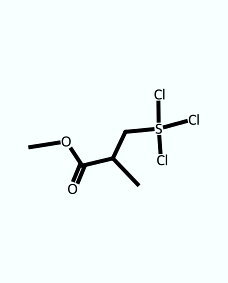 COC(=O)C(C)CS(Cl)(Cl)Cl